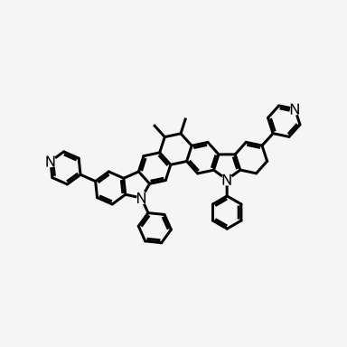 CC1c2cc3c4c(n(-c5ccccc5)c3cc2-c2cc3c(cc2C1C)c1cc(-c2ccncc2)ccc1n3-c1ccccc1)CCC(c1ccncc1)=C4